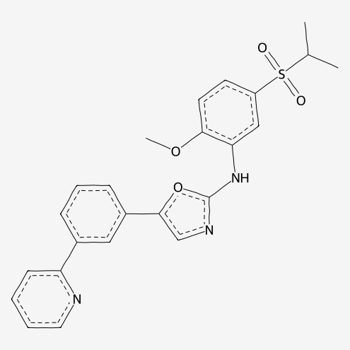 COc1ccc(S(=O)(=O)C(C)C)cc1Nc1ncc(-c2cccc(-c3ccccn3)c2)o1